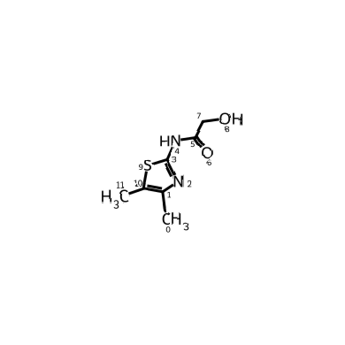 Cc1nc(NC(=O)CO)sc1C